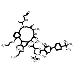 COc1c(OCCN)cc2cc1-c1cc(ccc1OCCN)C[C@@H](C(=O)NCC#N)NC(=O)[C@H](C)NC(=O)[C@H]2N(C)C(=O)[C@H](CNS(N)(=O)=O)NC(=O)c1c(C)nc(-c2ccc(C(C)(C)C)cc2)nc1C